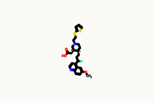 COc1ccc2nccc(C(F)CC[C@@H]3CCN(CCSc4cccs4)C[C@@H]3CC(=O)O)c2c1